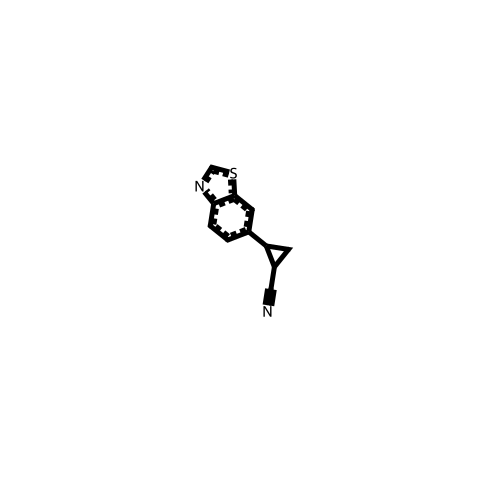 N#CC1CC1c1ccc2ncsc2c1